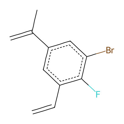 C=Cc1cc(C(=C)C)cc(Br)c1F